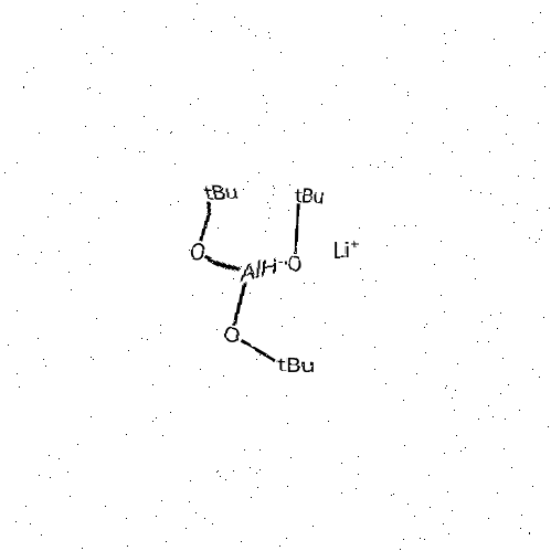 CC(C)(C)[O][AlH-]([O]C(C)(C)C)[O]C(C)(C)C.[Li+]